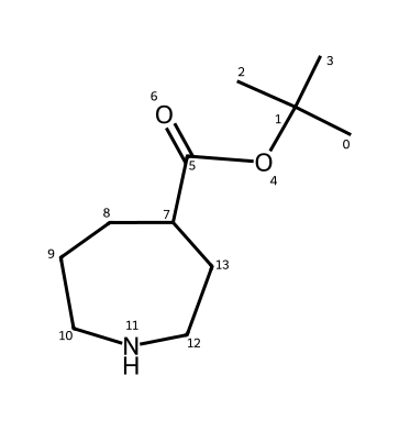 CC(C)(C)OC(=O)C1CCCNCC1